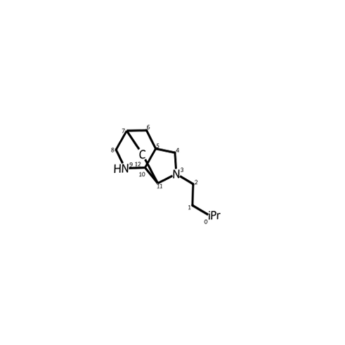 CC(C)CCN1CC2CC3CNC2C1C3